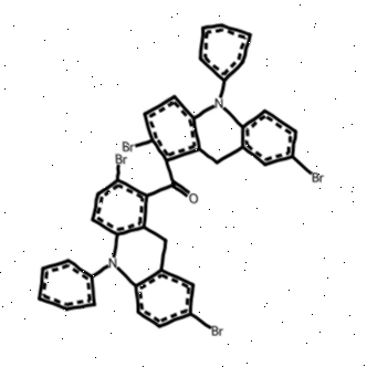 O=C(c1c(Br)ccc2c1Cc1cc(Br)ccc1N2c1ccccc1)c1c(Br)ccc2c1Cc1cc(Br)ccc1N2c1ccccc1